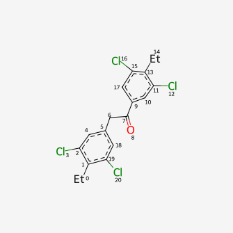 CCc1c(Cl)cc(CC(=O)c2cc(Cl)c(CC)c(Cl)c2)cc1Cl